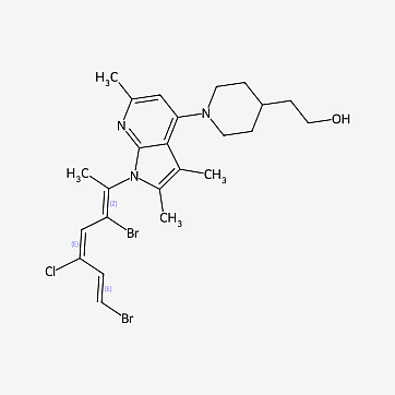 C\C(=C(Br)/C=C(Cl)\C=C\Br)n1c(C)c(C)c2c(N3CCC(CCO)CC3)cc(C)nc21